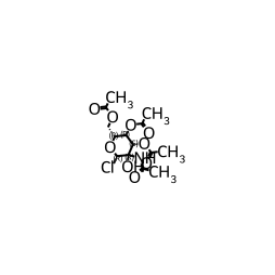 CC(=O)N[C@]1(O)[C@@H](Cl)O[C@H](COC(C)=O)[C@@H](OC(C)=O)[C@@H]1OC(C)=O